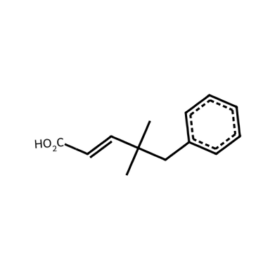 CC(C)(/C=C/C(=O)O)Cc1ccccc1